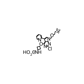 C[Si](C)(C)CCOCn1cc(-c2ccccn2)c2c(O[C@H]3C[C@H](NC(=O)O)C3)nc(Cl)nc21